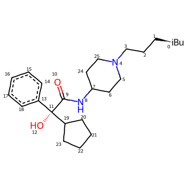 CC[C@H](C)CCCN1CCC(NC(=O)[C@](O)(c2ccccc2)C2CCCC2)CC1